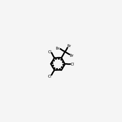 Clc1cc(Cl)c(C(Br)(Br)Br)c(Cl)c1